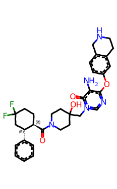 Nc1c(Oc2ccc3c(c2)CCNC3)ncn(CC2(O)CCN(C(=O)[C@@H]3CCC(F)(F)C[C@H]3c3ccccc3)CC2)c1=O